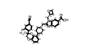 CC1(c2ccc(C#N)cc2F)COc2cccc(C3CCN(Cc4nc5ccc(C(=O)O)cc5n4C[C@@H]4CCO4)CC3)c2O1